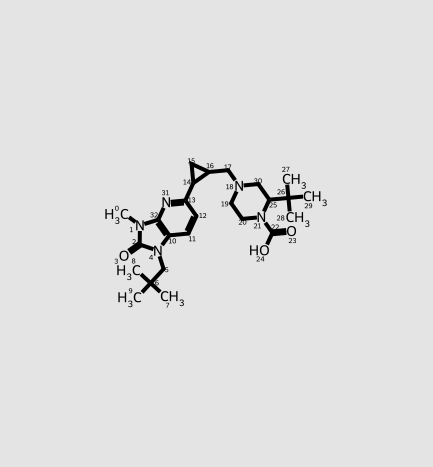 Cn1c(=O)n(CC(C)(C)C)c2ccc(C3CC3CN3CCN(C(=O)O)C(C(C)(C)C)C3)nc21